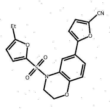 CCc1ccc(S(=O)(=O)N2CCOc3ccc(-c4ccc(C#N)o4)cc32)o1